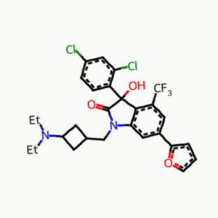 CCN(CC)C1CC(CN2C(=O)C(O)(c3ccc(Cl)cc3Cl)c3c2cc(-c2ccco2)cc3C(F)(F)F)C1